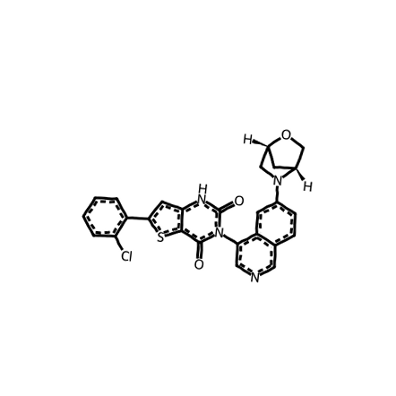 O=c1[nH]c2cc(-c3ccccc3Cl)sc2c(=O)n1-c1cncc2ccc(N3C[C@H]4C[C@@H]3CO4)cc12